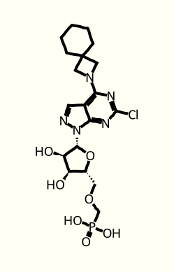 O=P(O)(O)COC[C@H]1O[C@@H](n2ncc3c(N4CC5(CCCCC5)C4)nc(Cl)nc32)[C@H](O)[C@@H]1O